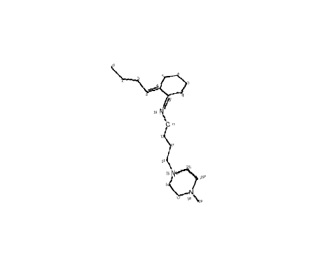 CCCC=C1CCCCC1=NOCCCN1CCN(C)CC1